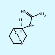 N=C(N)N[C@H]1CN2CCC1CC2